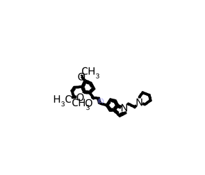 COc1ccc(C(=O)/C=C/c2ccc3c(ccn3CCN3CCCCC3)c2)c2c1C=CC(C)(C)O2